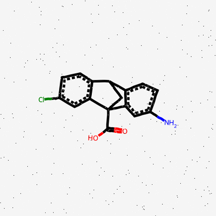 Nc1ccc2c(c1)C1(C(=O)O)CC2c2ccc(Cl)cc21